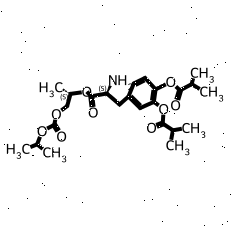 CC(C)OC(=O)OC[C@H](C)OC(=O)[C@@H](N)Cc1ccc(OC(=O)C(C)C)c(OC(=O)C(C)C)c1